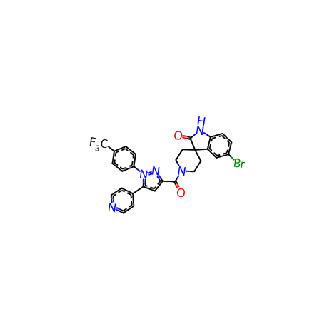 O=C(c1cc(-c2ccncc2)n(-c2ccc(C(F)(F)F)cc2)n1)N1CCC2(CC1)C(=O)Nc1ccc(Br)cc12